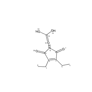 CCC1=C(CC)C(=O)NC1=O.O=C(O)O